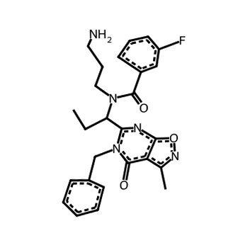 CCC(c1nc2onc(C)c2c(=O)n1Cc1ccccc1)N(CCCN)C(=O)c1cccc(F)c1